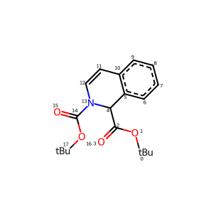 CC(C)(C)OC(=O)C1c2ccccc2C=CN1C(=O)OC(C)(C)C